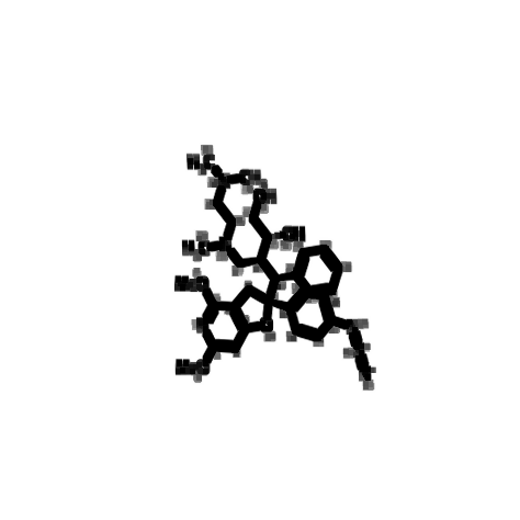 COc1cc2c(c(OC)n1)C[C@](c1ccc(N=[N+]=[N-])cc1)([C@H](c1ccccc1)[C@@H](CN(C)CCN(C)C)[C@@H](O)CO)O2